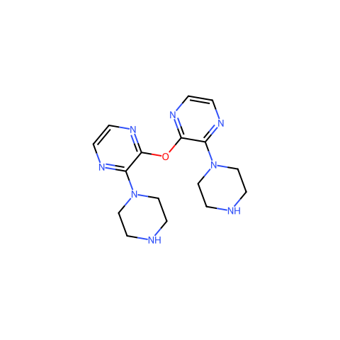 c1cnc(N2CCNCC2)c(Oc2nccnc2N2CCNCC2)n1